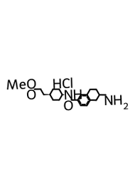 COC(=O)CC[C@H]1CC[C@H](NC(=O)c2ccc3c(c2)CCC(CN)C3)CC1.Cl